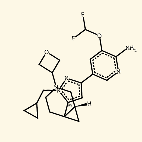 Nc1ncc(-c2cc(C34CCN(C5COC5)C[C@@H]3C4)n(CC3CC3)n2)cc1OC(F)F